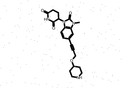 Cn1c(=O)n(C2CCC(=O)NC2=O)c2ccc(C#CCOC3CCNCC3)cc21